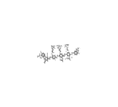 COc1ccc2c(nc3c(C#N)c(C)c(N=Nc4cc(C)c(N=Nc5cc(NC(C)=O)c(N=Nc6cc(NC(C)=O)c(N=Nc7ccc(Cl)c(S(=O)(=O)O)c7)cc6SCCCS(=O)(=O)O)cc5SCCCS(=O)(=O)O)cc4OCCCCS(=O)(=O)O)c(O)n32)c1S(=O)(=O)O